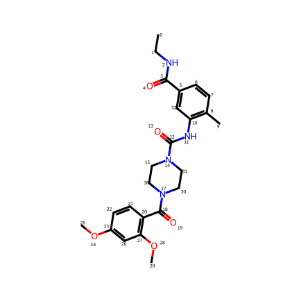 CCNC(=O)c1ccc(C)c(NC(=O)N2CCN(C(=O)c3ccc(OC)cc3OC)CC2)c1